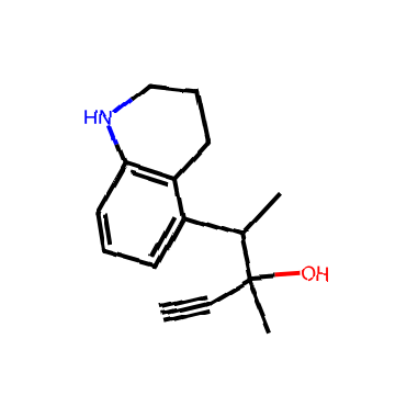 C#CC(C)(O)C(C)c1cccc2c1CCCN2